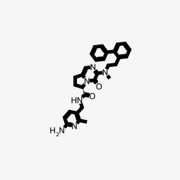 Cc1nc(N)ccc1CNC(=O)[C@@H]1CCc2cnc(N(C)CCc3ccccc3-c3ccccc3)c(=O)n21